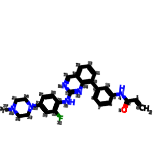 C=CC(=O)Nc1cccc(-c2cccc3cnc(Nc4ccc(N5CCN(CCC)CC5)cc4F)nc23)c1